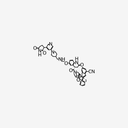 N#Cc1cccc2[nH]c(-c3ccccc3OC3(C(F)(F)F)CCN(C(=O)[C@H]4CC(=O)Nc5ccc(OCCNCC6CCN(c7cncc(C8CCC(=O)NC8=O)c7)CC6)cc54)CC3)cc12